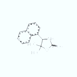 CC1(C)OC(=O)NC1c1cccc2ccccc12